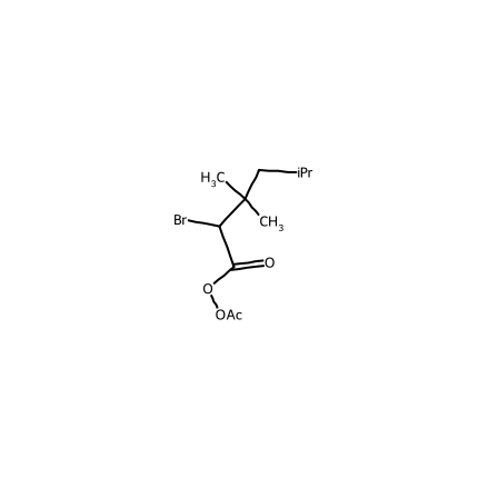 CC(=O)OOC(=O)C(Br)C(C)(C)CC(C)C